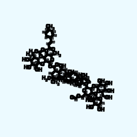 CC(=O)OC1C(OC(=O)/C=C/c2ccc(C)cc2)C(C)OC(OC(=O)[C@@H]2CC(C)(C)C[C@@H]3C2[C@H](O)C[C@]2(C)C3C=C[C@@H]3[C@@]4(C)CC[C@H](OC5OC(COC=O)C(O)C(OC6OCC(O)C(O)C6O)C5OC5OC(CO)C(O)C(O)C5O)[C@@](C)(C=O)[C@@H]4CC[C@]32C)C1OC1CC(C)C(O)C(O)C1O